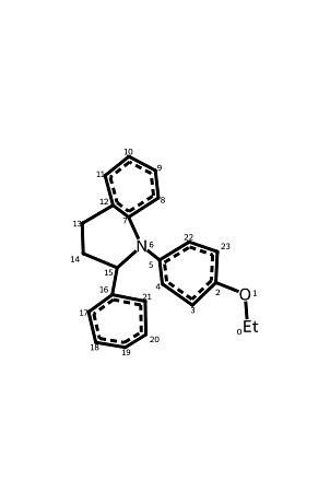 CCOc1ccc(N2c3ccccc3CCC2c2ccccc2)cc1